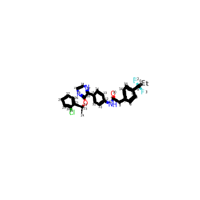 CCC(F)(F)c1ccc(CC(=O)Nc2ccc(-c3nccnc3O[C@@H](C)c3ccccc3Cl)cc2)cc1